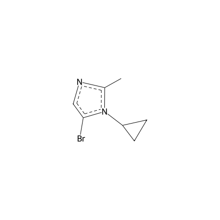 Cc1ncc(Br)n1C1CC1